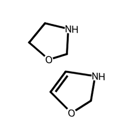 C1=COCN1.C1COCN1